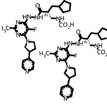 Cc1nc(NNC(=O)[C@@H](CNC(=O)O)CC2CCCC2)c(F)c(N2CCC(c3ccncc3)C2)n1.Cc1nc(NNC(=O)[C@@H](CNC(=O)O)CC2CCCC2)c(F)c(N2CCC(c3ccncc3)C2)n1